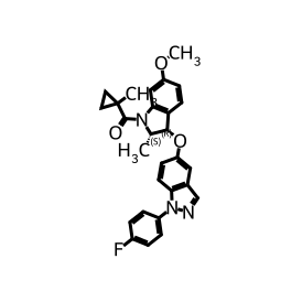 COc1ccc2c(c1)N(C(=O)C1(C)CC1)[C@@H](C)[C@@H]2Oc1ccc2c(cnn2-c2ccc(F)cc2)c1